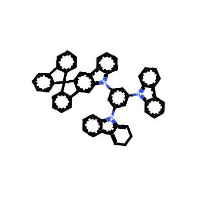 C1=c2c(n(-c3cc(-n4c5ccccc5c5ccccc54)cc(-n4c5ccccc5c5cc6c(cc54)-c4ccccc4C64c5ccccc5-c5ccccc54)c3)c3ccccc23)=CCC1